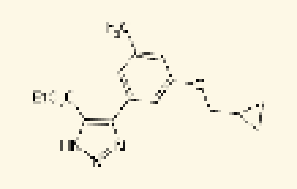 CCOC(=O)c1[nH]nnc1-c1cc(OCC2CC2)cc(C(F)(F)F)c1